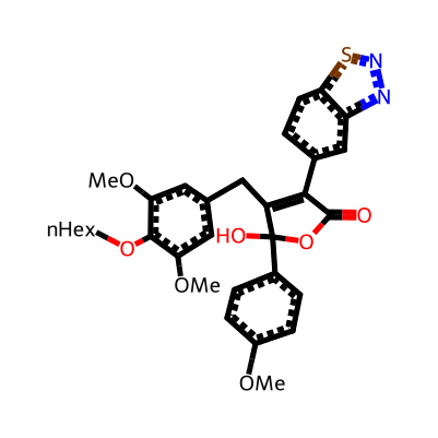 CCCCCCOc1c(OC)cc(CC2=C(c3ccc4snnc4c3)C(=O)OC2(O)c2ccc(OC)cc2)cc1OC